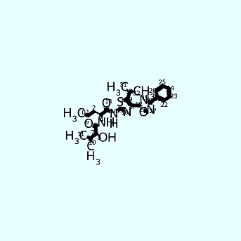 CCC[C@H](NC(=O)[C@@H](O)C(C)C)C(=O)Nc1nc(-c2nc(-c3ccccc3)no2)c(C(C)C)s1